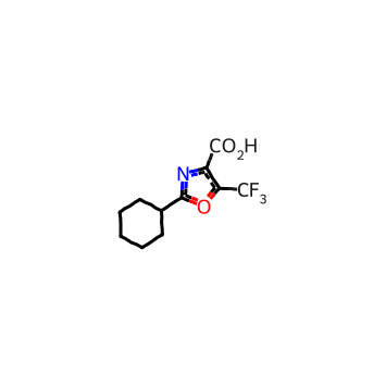 O=C(O)c1nc(C2CCCCC2)oc1C(F)(F)F